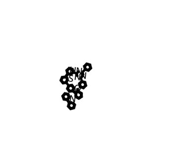 c1ccc(C2=NC(c3cccc4c3sc3c(-c5ccc6c(c5)oc5cccc(-n7c8ccccc8c8ccccc87)c56)cccc34)NC(c3ccccc3)=N2)cc1